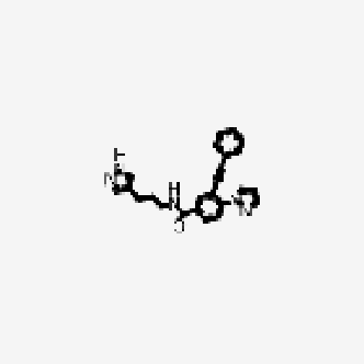 O=C(NCCCc1cn[nH]c1)c1ccc(-n2cccn2)c(C#Cc2ccccc2)c1